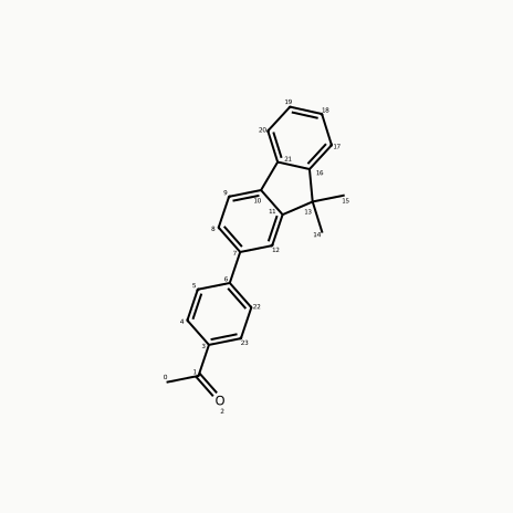 CC(=O)c1ccc(-c2ccc3c(c2)C(C)(C)c2ccccc2-3)cc1